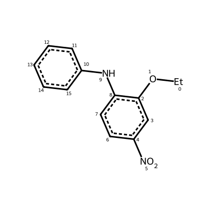 CCOc1cc([N+](=O)[O-])ccc1Nc1ccccc1